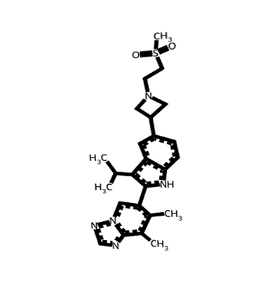 Cc1c(-c2[nH]c3ccc(C4CN(CCS(C)(=O)=O)C4)cc3c2C(C)C)cn2ncnc2c1C